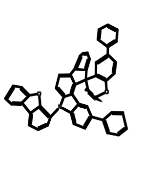 c1ccc(-c2ccc3c(c2)C2(c4ccccc4O3)c3ccccc3-c3ccc4c(c32)c2cc(-c3ccccc3)ccc2n4-c2cccc3c2oc2ccccc23)cc1